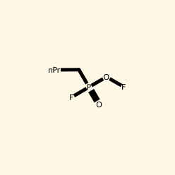 CCCCP(=O)(F)OF